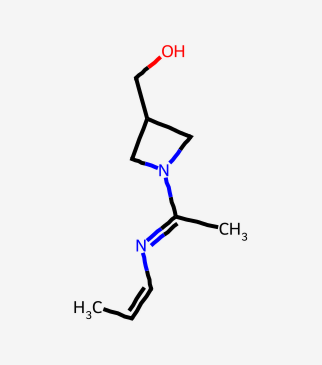 C/C=C\N=C(/C)N1CC(CO)C1